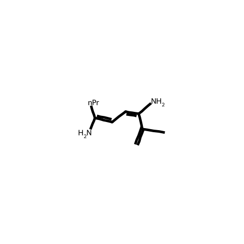 C=C(C)/C(N)=C\C=C(\N)CCC